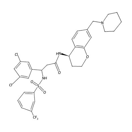 O=C(CC(NS(=O)(=O)c1cccc(C(F)(F)F)c1)c1cc(Cl)cc(Cl)c1)N[C@@H]1CCOc2cc(CN3CCCCC3)ccc21